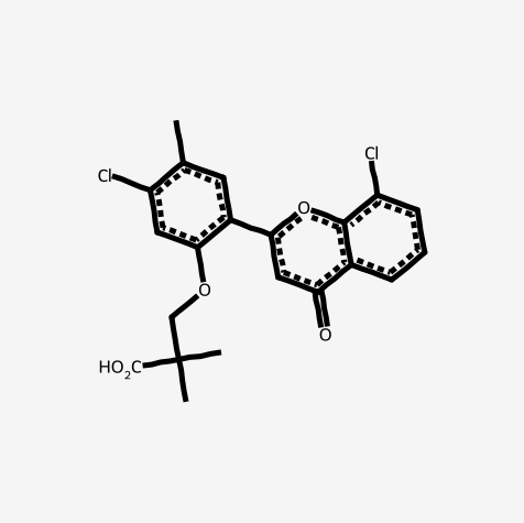 Cc1cc(-c2cc(=O)c3cccc(Cl)c3o2)c(OCC(C)(C)C(=O)O)cc1Cl